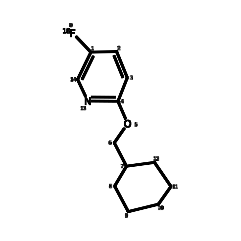 [18F]c1ccc(OCC2CCCCC2)nc1